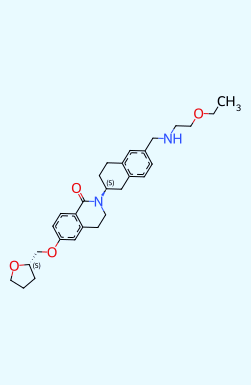 CCOCCNCc1ccc2c(c1)CC[C@H](N1CCc3cc(OC[C@@H]4CCCO4)ccc3C1=O)C2